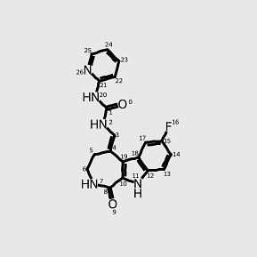 O=C(N/C=C1\CCNC(=O)c2[nH]c3ccc(F)cc3c21)Nc1ccccn1